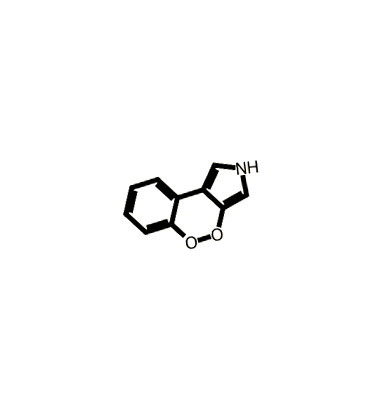 c1ccc2c(c1)OOc1c[nH]cc1-2